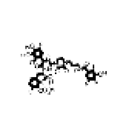 O=C(NCCCN1CCN(C(=O)NC(C(=O)N[C@H]2Cc3ccc(F)c(C(=O)O)c3OB2O)c2cc(F)c(O)c(O)c2Cl)C(=O)C1=O)c1cc(F)c(F)c(O)c1F